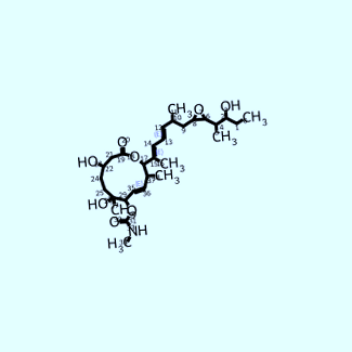 CCC(O)C(C)C1OC1CC(C)/C=C/C=C(\C)C1OC(=O)CC(O)CCC(C)(O)C(OC(=O)NC)/C=C/C1C